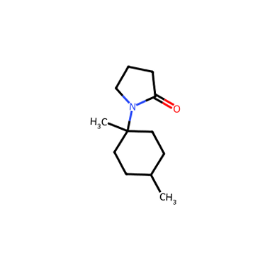 CC1CCC(C)(N2CCCC2=O)CC1